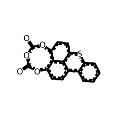 O=c1oc(=O)oc2ccc3c4ccccc4sc4ccc(o1)c2c43